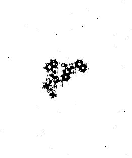 CC(C)(C)OC(=O)NC(C(=O)N1C[C@@H](Nc2ccc3c(c2)CN(C=O)C(C(=O)NC2CCCc4ccccc42)C3)CC1C(=O)N[C@@H]1CCCc2ccccc21)C(C)(C)C